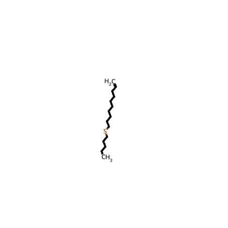 C=CCCCCCCCCSCCCCC